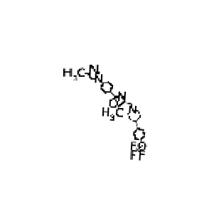 Cc1cn(-c2ccc(-c3nc(CN4CCC(c5ccc(OC(F)(F)F)cc5)CC4)c(C)o3)cc2)cn1